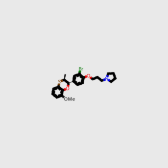 COc1cccc2c1O[C@@H](c1ccc(OCCCN3CCCC3)c(Br)c1)[C@H](C)S2